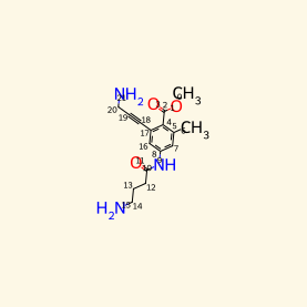 COC(=O)c1c(C)cc(NC(=O)CCCN)cc1C#CCN